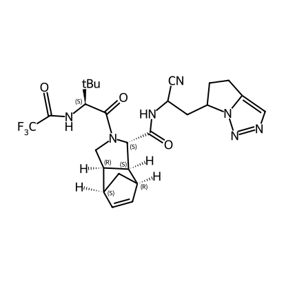 CC(C)(C)[C@H](NC(=O)C(F)(F)F)C(=O)N1C[C@H]2[C@@H]([C@H]1C(=O)NC(C#N)CC1CCc3cnnn31)[C@H]1C=C[C@@H]2C1